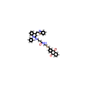 CN(CCCC(=O)NCCSCc1ccc2c(c1)C(=O)C1C=CC=CC1C2=O)C1=C/C(=C\c2nc3ccccc3s2)c2ccccc2N1c1ccccc1